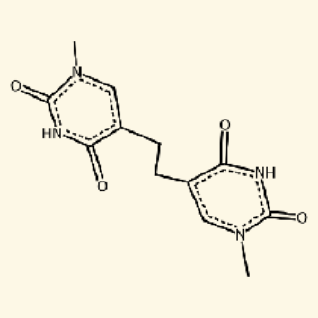 Cn1cc(CCc2cn(C)c(=O)[nH]c2=O)c(=O)[nH]c1=O